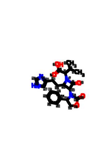 CC(C)C(C(=O)O)N1C(=O)[C@@H](N2C(=O)OC[C@H]2c2ccccc2)C1CCc1c[nH]cn1